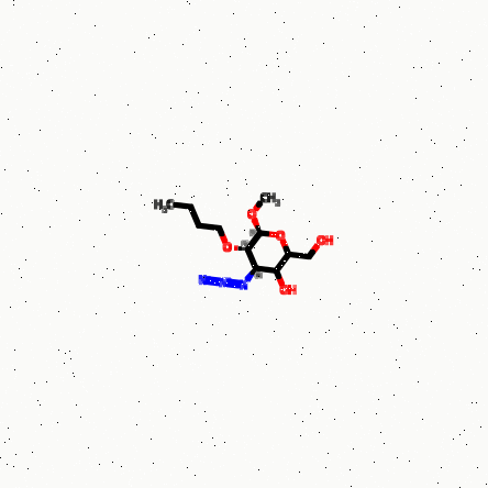 CCCCO[C@@H]1[C@@H](OC)OC(CO)C(O)[C@H]1N=[N+]=[N-]